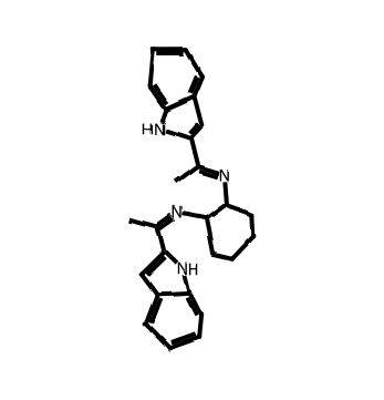 CC(=NC1CCCCC1N=C(C)c1cc2ccccc2[nH]1)c1cc2ccccc2[nH]1